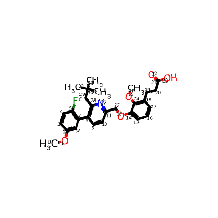 COc1ccc(F)c(-c2ccc(COc3cccc(CCC(=O)O)c3OC)nc2CC(C)(C)C)c1